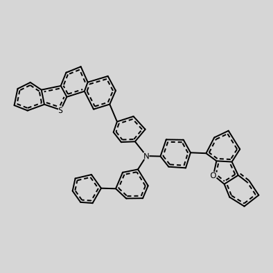 c1ccc(-c2cccc(N(c3ccc(-c4ccc5ccc6c7ccccc7sc6c5c4)cc3)c3ccc(-c4cccc5c4oc4ccccc45)cc3)c2)cc1